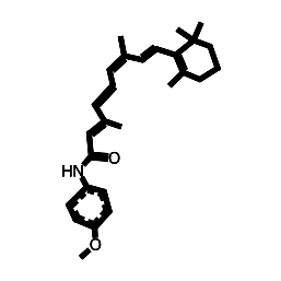 COc1ccc(NC(=O)/C=C(C)/C=C/C=C(C)\C=C\C2=C(C)CCCC2(C)C)cc1